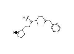 CN(CCC1CCCN1)C1CCN(Cc2ccccc2)CC1